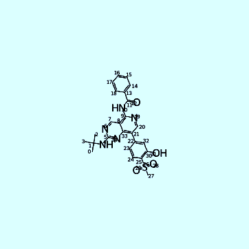 CC(C)(C)Nc1ncc2c(NC(=O)c3ccccc3)ncc(-c3ccc(S(C)(=O)=O)c(O)c3)c2n1